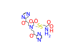 COC(=O)[C@H](CSSCC(N)C(=O)O)N(CCC(=O)c1cnccn1)CCC(=O)c1cnccn1